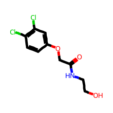 O=C(COc1ccc(Cl)c(Cl)c1)NCCO